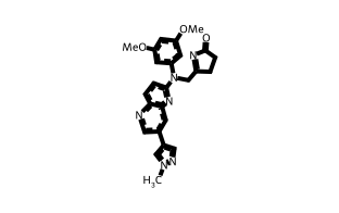 COc1cc(OC)cc(N(CC2=NC(=O)CC2)c2ccc3ncc(-c4cnn(C)c4)cc3n2)c1